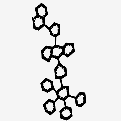 c1ccc(-c2cc(-c3ccc(-c4c5ccccc5c(-c5cccc(-c6ccnc7ccccc67)c5)c5ccccc45)cc3)c(-c3ccccc3)c(-c3ccccc3)c2-c2ccccc2)cc1